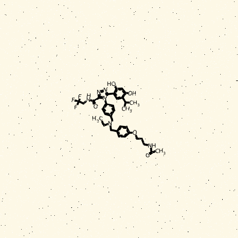 CCN(Cc1ccc(OCCCNC(C)=O)cc1)Cc1ccc(-n2c(C(=O)NCC(F)(F)F)nnc2-c2cc(C(C)C)c(O)cc2O)cc1